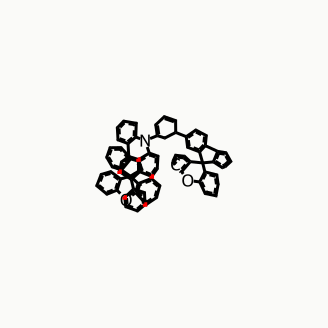 C1=CC(c2ccc3c(c2)C2(c4ccccc4Oc4ccccc42)c2ccccc2-3)CC(N(c2ccccc2-c2ccc(-c3ccccc3)cc2)c2cccc3c2-c2ccccc2C32c3ccccc3Oc3ccccc32)=C1